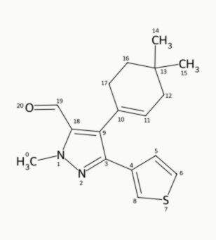 Cn1nc(-c2ccsc2)c(C2=CCC(C)(C)CC2)c1C=O